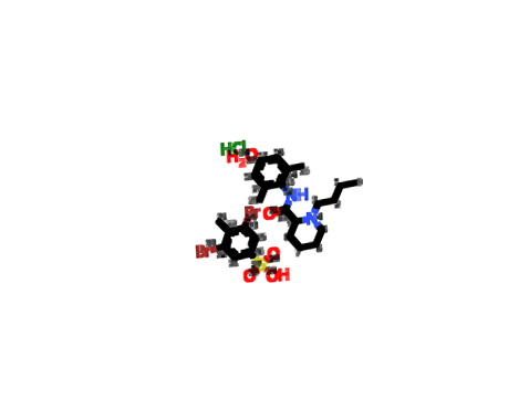 CCCCN1CCCCC1C(=O)Nc1c(C)cccc1C.Cc1c(Br)cc(S(=O)(=O)O)cc1Br.Cl.O